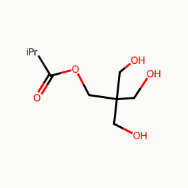 CC(C)C(=O)OCC(CO)(CO)CO